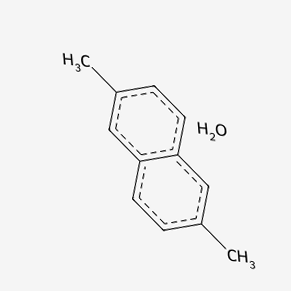 Cc1ccc2cc(C)ccc2c1.O